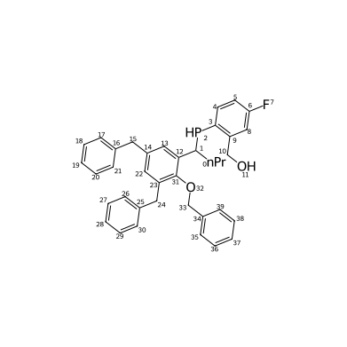 CCCC(Pc1ccc(F)cc1CO)c1cc(Cc2ccccc2)cc(Cc2ccccc2)c1OCc1ccccc1